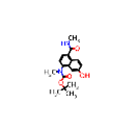 CNC(=O)c1ccc(N(C)C(=O)OC(C)(C)C)c2cc(O)ccc12